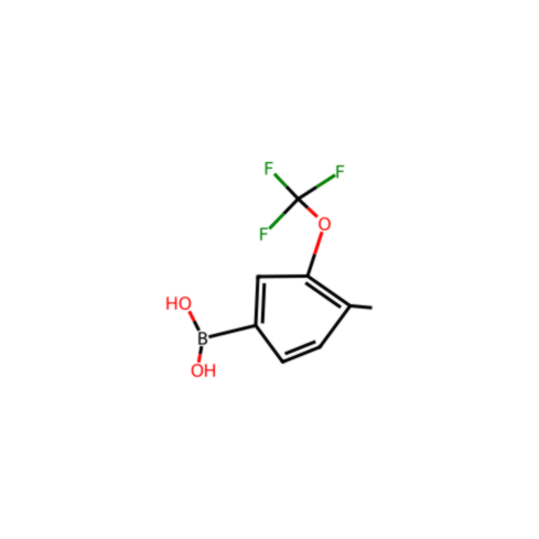 Cc1ccc(B(O)O)cc1OC(F)(F)F